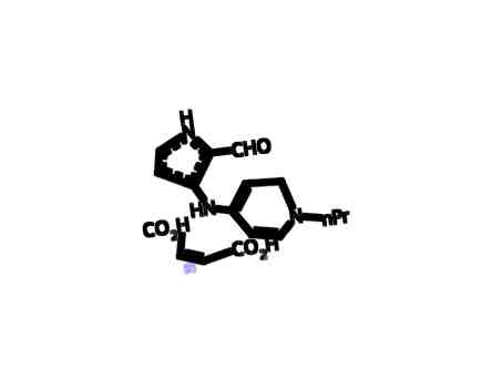 CCCN1C=CC(Nc2cc[nH]c2C=O)=CC1.O=C(O)/C=C\C(=O)O